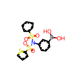 O=S(=O)(c1ccccc1)N(c1cccc(B(O)O)c1)S(=O)(=O)c1cccs1